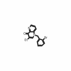 [CH2]Cc1cn(Cc2ccccc2Br)c2cccnc2c1=O